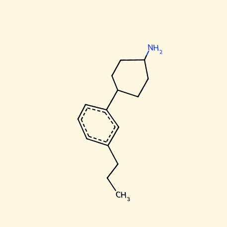 CCCc1cccc(C2CCC(N)CC2)c1